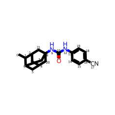 CC1C2CC3CC1CC(NC(=O)Nc1ccc(C#N)cc1)(C3)C2